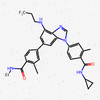 CCNC(=O)c1ccc(-c2cc(NCCC(F)(F)F)c3ncn(-c4ccc(C(=O)NC5CC5)c(C)c4)c3c2)cc1C